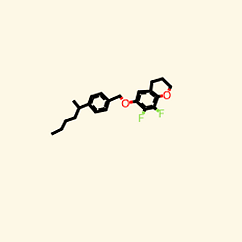 CCCCC(C)c1ccc(COc2cc3c(c(F)c2F)OCCC3)cc1